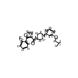 CC(C)COc1cc(N2CCN(C(=O)c3ncoc3-c3ccccc3F)CC2)ncn1